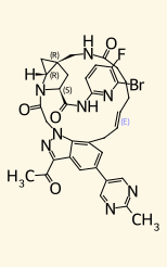 CC(=O)c1nn2c3c(cc(-c4cnc(C)nc4)cc13)C/C=C/CCCC(=O)NC[C@@]13C[C@@H](C(=O)Nc4ccc(F)c(Br)n4)N(C(=O)C2)[C@@H]1C3